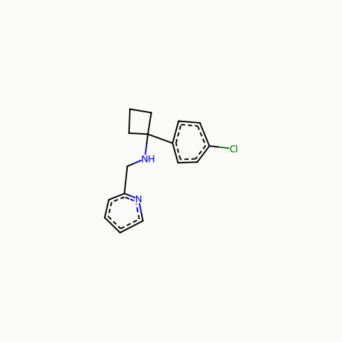 Clc1ccc(C2(NCc3ccccn3)CCC2)cc1